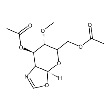 CO[C@@H]1C(COC(C)=O)O[C@H]2OC=NC2[C@H]1OC(C)=O